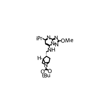 COc1nc2nc(C(C)C)cc(NC[C@@H]3CC4C[C@H]3CN4C(=O)OC(C)(C)C)n2n1